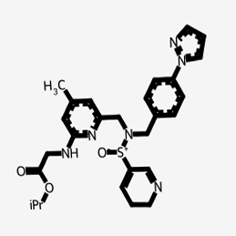 Cc1cc(CN(Cc2ccc(-n3cccn3)cc2)[S+]([O-])C2=CCCN=C2)nc(NCC(=O)OC(C)C)c1